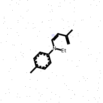 C=C(C)/C=C\N(CC)c1ccc(C)cc1